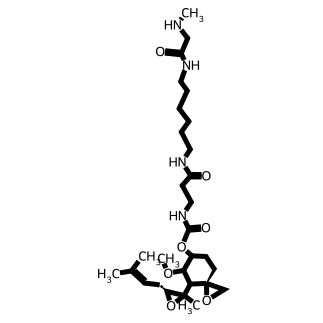 CNCC(=O)NCCCCCCNC(=O)CCNC(=O)OC1CC[C@]2(CO2)C(C2(C)O[C@@H]2CC=C(C)C)C1OC